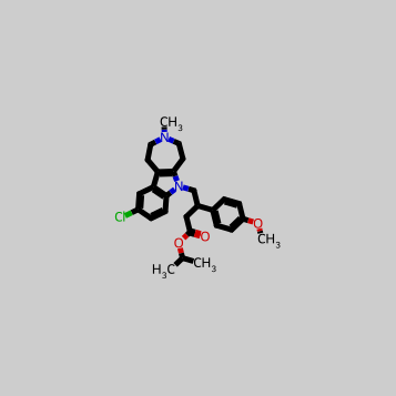 COc1ccc(C(CC(=O)OC(C)C)Cn2c3c(c4cc(Cl)ccc42)CCN(C)CC3)cc1